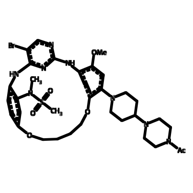 COc1cc(N2CCC(N3CCN(C(C)=O)CC3)CC2)c2cc1Nc1ncc(Br)c(n1)Nc1ccc(cc1N(C)S(C)(=O)=O)OCCCCO2